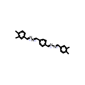 Cc1ccc(/C=N/N=C/c2ccc(/C=N/N=C/c3ccc(C)c(C)c3)cc2)cc1C